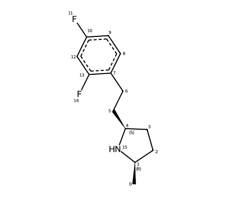 C[C@@H]1CC[C@H](CCc2ccc(F)cc2F)N1